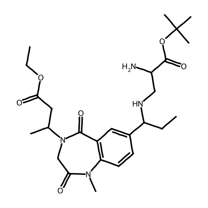 CCOC(=O)CC(C)N1CC(=O)N(C)c2ccc(C(CC)NCC(N)C(=O)OC(C)(C)C)cc2C1=O